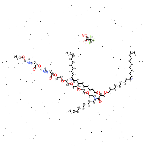 CCCCCCCC/C=C\CCCCCCCCOCC(OCCCCCCCC/C=C\CCCCCCCC)C(=O)N(CCCCCCCC)CCOCCOCCOCCOCCOC(=O)CNCCOC(=O)CNCCOC.O=C(O)C(F)(F)F